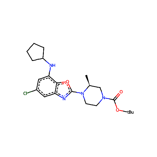 C[C@H]1CN(C(=O)OC(C)(C)C)CCN1c1nc2cc(Cl)cc(NC3CCCC3)c2o1